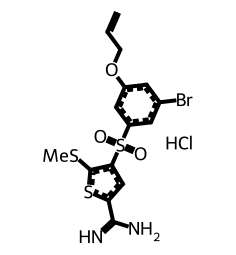 C=CCOc1cc(Br)cc(S(=O)(=O)c2cc(C(=N)N)sc2SC)c1.Cl